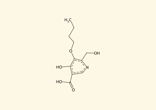 CCCCOc1c(CO)ncc(C(=O)O)c1O